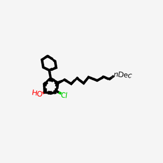 CCCCCCCCCCCCCCCCCCc1c(Cl)cc(O)cc1C1CCCCC1